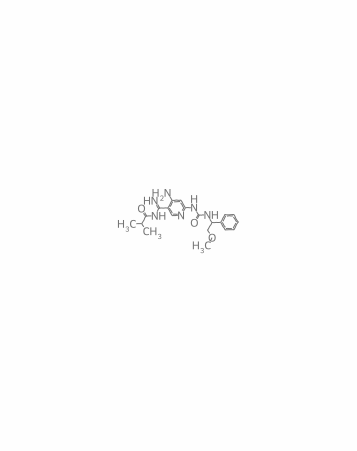 COCC(NC(=O)Nc1cc(N)c(C(=N)NC(=O)C(C)C)cn1)c1ccccc1